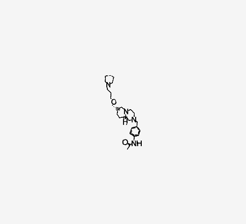 CC(=O)Nc1ccc(CN2CCN3C[C@@H](COCCCN4CCCCC4)CC[C@H]3C2)cc1